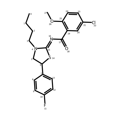 CCCCN1CC(c2ccc(F)cc2)SC1=NC(=O)c1cc(Cl)ccc1OC